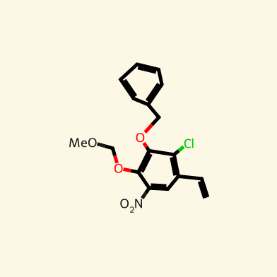 C=Cc1cc([N+](=O)[O-])c(OCOC)c(OCc2ccccc2)c1Cl